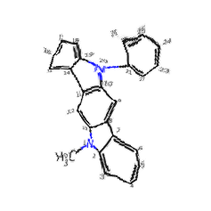 Cn1c2ccccc2c2cc3c(cc21)c1ccccc1n3-c1ccccc1